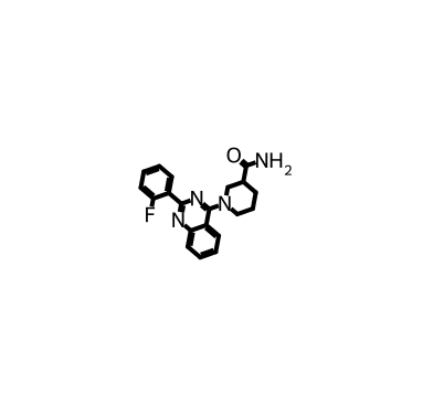 NC(=O)C1CCCN(c2nc(-c3ccccc3F)nc3ccccc23)C1